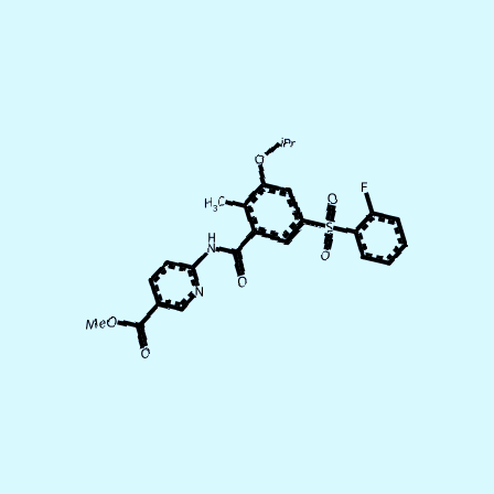 COC(=O)c1ccc(NC(=O)c2cc(S(=O)(=O)c3ccccc3F)cc(OC(C)C)c2C)nc1